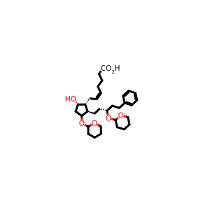 O=C(O)CCC/C=C\C[C@H]1[C@@H](O)CC(OC2CCCCO2)[C@@H]1CC[C@H](CCc1ccccc1)OC1CCCCO1